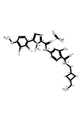 COc1ccc(-c2cnc(C(=O)Nc3ccc(C(=O)NCC4CC(CN)C4)c(Cl)c3)n2C)c(F)c1F.O=CO